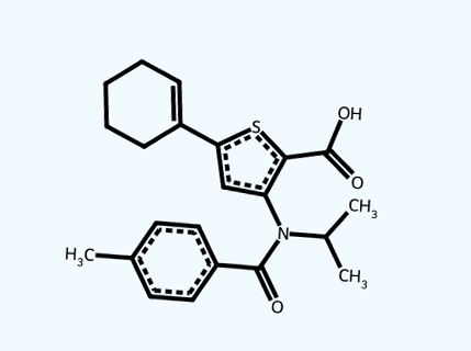 Cc1ccc(C(=O)N(c2cc(C3=CCCCC3)sc2C(=O)O)C(C)C)cc1